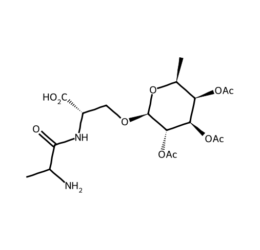 CC(=O)O[C@H]1[C@H](OC(C)=O)[C@@H](OC[C@H](NC(=O)C(C)N)C(=O)O)O[C@@H](C)[C@H]1OC(C)=O